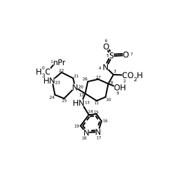 CCCC.O=C(O)C(N=S(=O)=O)C1(O)CCC(Nc2ccnnc2)(N2CCNCC2)CC1